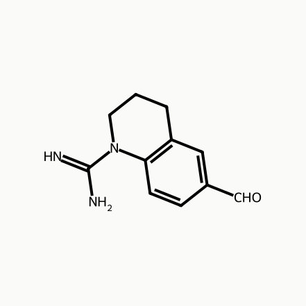 N=C(N)N1CCCc2cc(C=O)ccc21